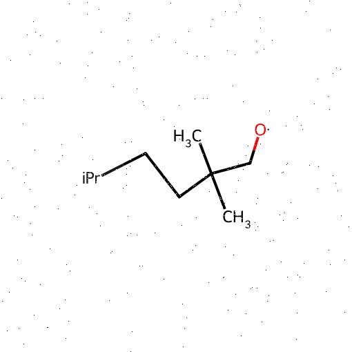 CC(C)CCC(C)(C)C[O]